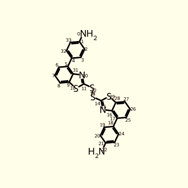 Nc1ccc(-c2cccc3sc(SSc4nc5c(-c6ccc(N)cc6)cccc5s4)nc23)cc1